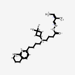 N/C=C(\C=N\OC(=O)CCCN(CCCCc1ccc2c(n1)NCCC2)C1CC(F)(F)C1)C(F)(F)F